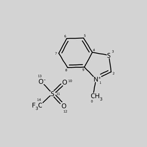 C[n+]1csc2ccccc21.O=S(=O)([O-])C(F)(F)F